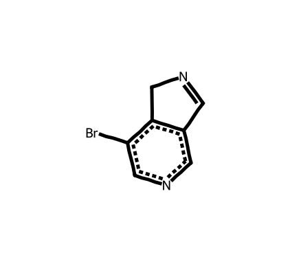 Brc1cncc2c1CN=C2